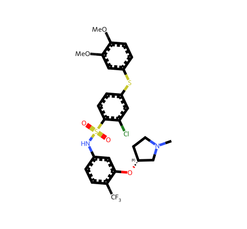 COc1ccc(Sc2ccc(S(=O)(=O)Nc3ccc(C(F)(F)F)c(O[C@@H]4CCN(C)C4)c3)c(Cl)c2)cc1OC